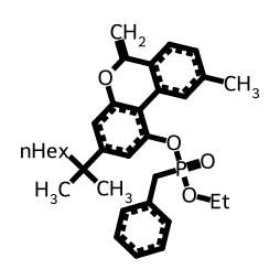 C=C1Oc2cc(C(C)(C)CCCCCC)cc(OP(=O)(Cc3ccccc3)OCC)c2-c2cc(C)ccc21